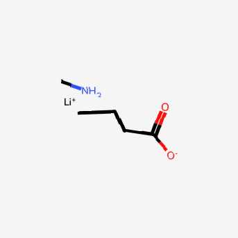 CCCC(=O)[O-].CN.[Li+]